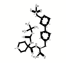 CC(C)(C)OC(=O)NC1(C(=O)N[C@@H](Cc2ccc(-c3cccc(CS(=O)(=O)O)c3)cc2)C(N)=O)CCOCC1